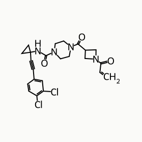 C=CC(=O)N1CC(C(=O)N2CCN(C(=O)NC3(C#Cc4ccc(Cl)c(Cl)c4)CC3)CC2)C1